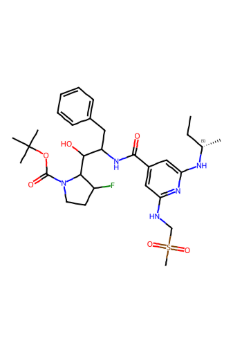 CC[C@H](C)Nc1cc(C(=O)NC(Cc2ccccc2)C(O)C2C(F)CCN2C(=O)OC(C)(C)C)cc(NCS(C)(=O)=O)n1